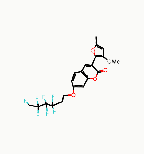 COc1cc(C)oc1-c1cc2ccc(OCCC(F)(F)C(F)(F)C(F)(F)CF)cc2oc1=O